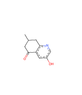 CC1CC(=O)c2cc(O)cnc2C1